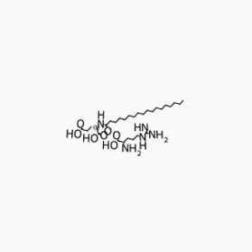 CCCCCCCCCCCCCCCCCC(=O)N[C@@H](CCC(=O)O)C(=O)O.N=C(N)NCCCC(N)C(=O)O